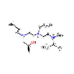 C=C(O)CN(CCC(C)CC)CCN(CCN(CCC)C(CCC)C(=O)O)CC(=O)O